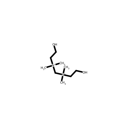 C[N+](C)(CCO)C[N+](C)(C)CCO